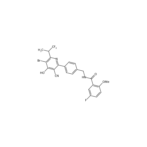 COc1ccc(F)cc1C(=O)NCc1ccc(-c2nc(C(C)C(F)(F)F)c(Br)c(O)c2C#N)cc1